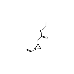 C=CN1CC1CC(=O)OCC